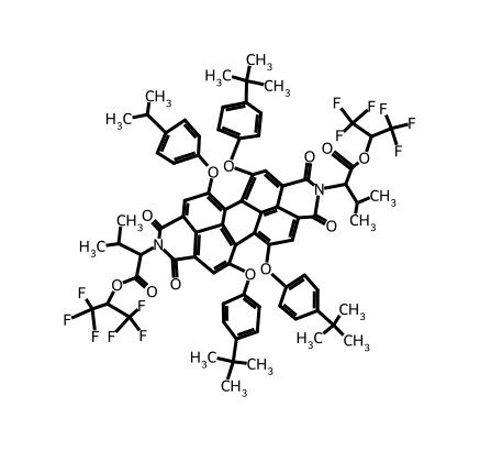 CC(C)c1ccc(Oc2cc3c4c(cc(Oc5ccc(C(C)(C)C)cc5)c5c6c(Oc7ccc(C(C)(C)C)cc7)cc7c8c(cc(Oc9ccc(C(C)(C)C)cc9)c(c2c45)c86)C(=O)N(C(C(=O)OC(C(F)(F)F)C(F)(F)F)C(C)C)C7=O)C(=O)N(C(C(=O)OC(C(F)(F)F)C(F)(F)F)C(C)C)C3=O)cc1